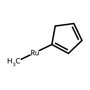 [CH3][Ru][C]1=CC=CC1